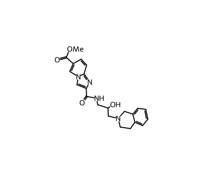 COC(=O)c1ccc2nc(C(=O)NCC(O)CN3CCc4ccccc4C3)cn2c1